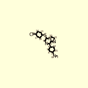 CN(C)c1ccc(-c2ncc(Sc3ccc(Cl)cc3)n3ccnc23)cc1